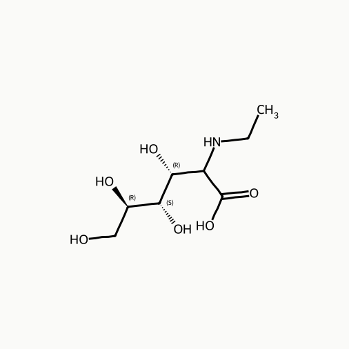 CCNC(C(=O)O)[C@@H](O)[C@H](O)[C@H](O)CO